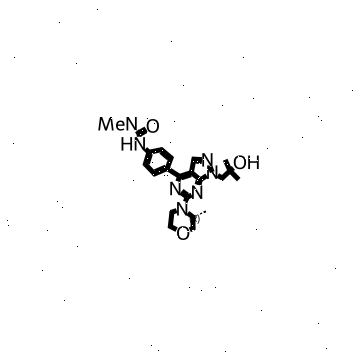 CNC(=O)Nc1ccc(-c2nc(N3CCOC[C@H]3C)nc3c2cnn3CC(C)(C)O)cc1